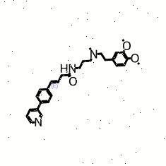 COc1ccc(CCN(C)CCCNC(=O)C/C=C/c2ccc(-c3cccnc3)cc2)cc1OC